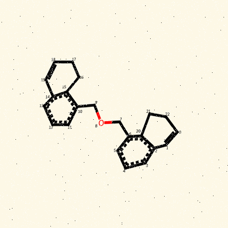 C1=Cc2cccc(COCc3cccc4c3CCC=C4)c2CC1